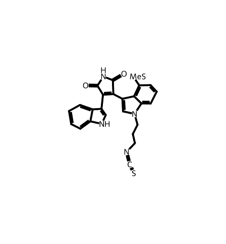 CSc1cccc2c1c(C1=C(c3c[nH]c4ccccc34)C(=O)NC1=O)cn2CCCN=C=S